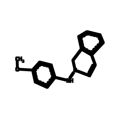 COc1ccc(NN2C=Cc3ccccc3C2)cc1